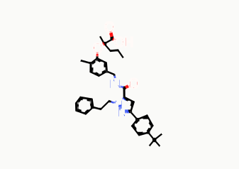 CCCC(C)(Oc1cc(CNC(=O)c2cc(-c3ccc(C(C)(C)C)cc3)nn2CCc2ccccc2)ccc1C)C(=O)O